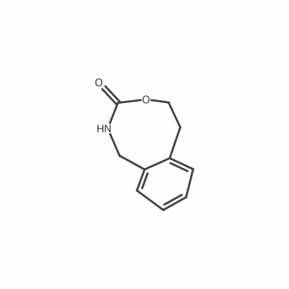 O=C1NCc2ccccc2CCO1